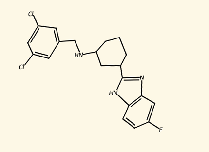 Fc1ccc2[nH]c(C3CCCC(NCc4cc(Cl)cc(Cl)c4)C3)nc2c1